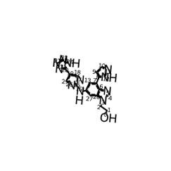 OCCn1cnc2c(-c3ccn[nH]3)cc(Nc3ncc(-c4nnn[nH]4)cn3)cc21